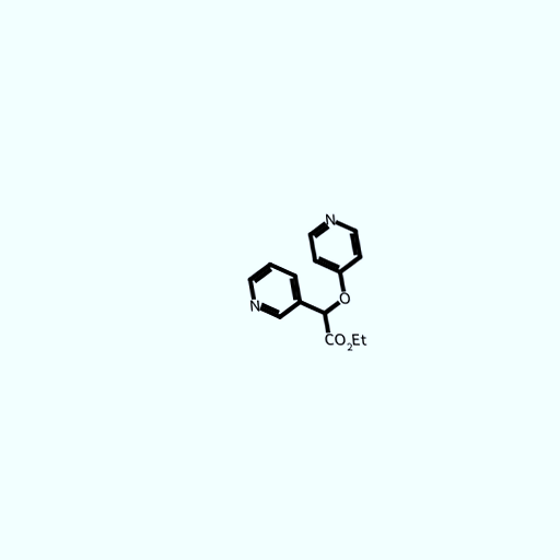 CCOC(=O)C(Oc1ccncc1)c1cccnc1